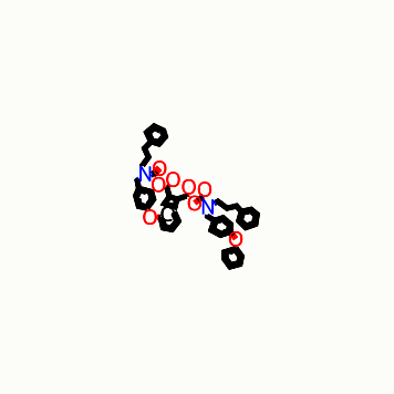 O=C(OC(=O)N(CCCc1ccccc1)Cc1ccc(Oc2ccccc2)cc1)C1CCC1C(=O)OC(=O)N(CCCc1ccccc1)Cc1ccc(Oc2ccccc2)cc1